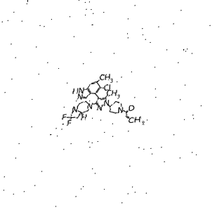 C=CC(=O)N1CCC(n2nc(N3CCN4CC(F)(F)C[C@H]4C3)c(-c3c(Cl)c(C)cc4[nH]ncc34)c2C)CC1